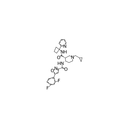 O=C(N[C@H]1CCN(CC2CC2)C[C@@H]1C(=O)NC1(c2ccccn2)CCC1)c1cc(-c2ccc(F)cc2F)on1